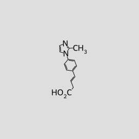 Cc1nccn1-c1ccc(/C=C/CC(=O)O)cc1